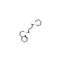 O=C(CCC(=O)N1CCCC2CCCC=C21)N1CCCCC1